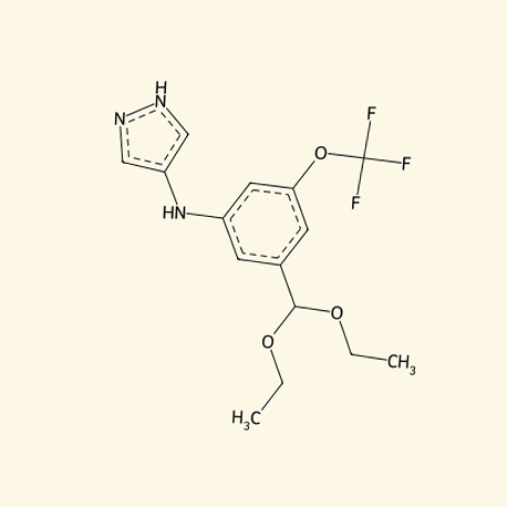 CCOC(OCC)c1cc(Nc2cn[nH]c2)cc(OC(F)(F)F)c1